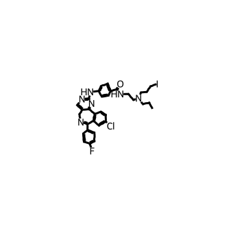 CCCN(CCCI)CCNC(=O)c1ccc(Nc2ncc3c(n2)-c2ccc(Cl)cc2C(c2ccc(F)cc2)=NC3)cc1